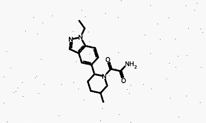 CCn1ncc2cc(C3CCC(C)CN3C(=O)C(N)=O)ccc21